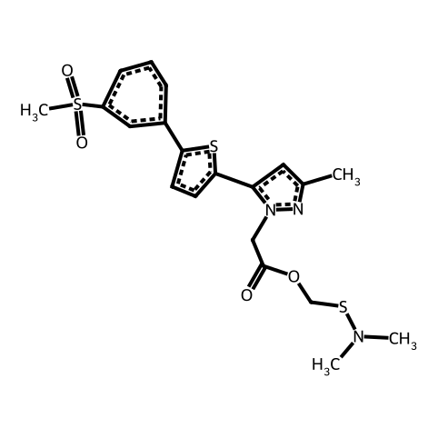 Cc1cc(-c2ccc(-c3cccc(S(C)(=O)=O)c3)s2)n(CC(=O)OCSN(C)C)n1